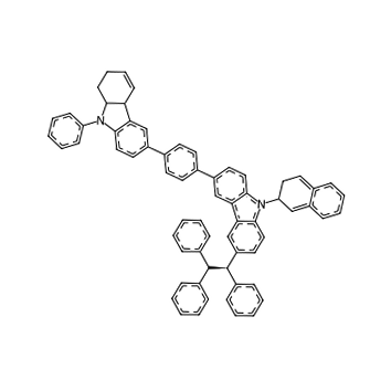 C1=CC2c3cc(-c4ccc(-c5ccc6c(c5)c5cc([C@@H](c7ccccc7)C(c7ccccc7)c7ccccc7)ccc5n6C5C=c6ccccc6=CC5)cc4)ccc3N(c3ccccc3)C2CC1